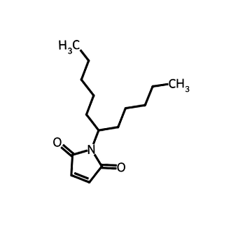 CCCCCC(CCCCC)N1C(=O)C=CC1=O